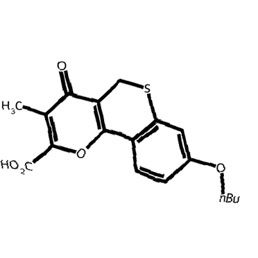 CCCCOc1ccc2c(c1)SCc1c-2oc(C(=O)O)c(C)c1=O